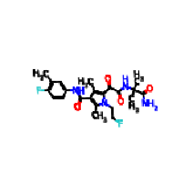 Cc1cc(NC(=O)c2c(C)c(C(=O)C(=O)NC(C)(C)C(N)=O)n(CCF)c2C)ccc1F